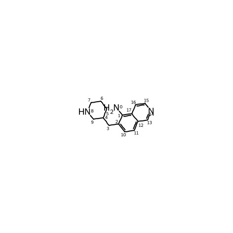 Nc1c(CC2CCCNC2)ccc2cnccc12